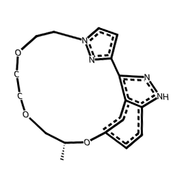 C[C@@H]1COCCOCCn2ccc(n2)-c2n[nH]c3ccc(cc23)O1